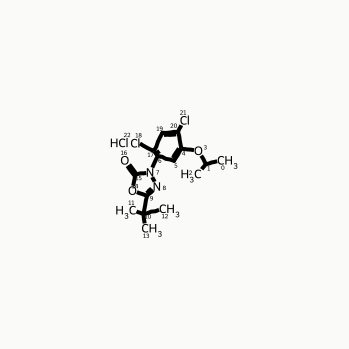 CC(C)Oc1cc(-n2nc(C(C)(C)C)oc2=O)c(Cl)cc1Cl.Cl